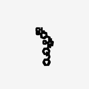 COc1ccc(Cn2ccn(C3=CCCN(Cc4ccccc4)C3)c2=O)cc1